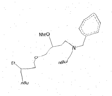 CCCCC(CC)COCC(CN(CCCC)Cc1ccccc1)OC